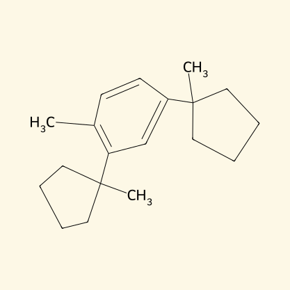 Cc1ccc(C2(C)CCCC2)cc1C1(C)CCCC1